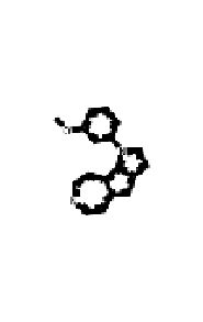 COc1cccc(-n2ccc3cc4ccnccc-4c32)c1